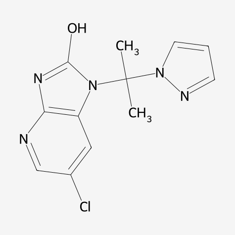 CC(C)(n1cccn1)n1c(O)nc2ncc(Cl)cc21